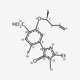 C=CC[C@H](C)Oc1cc(-n2nc(CC)n(C)c2=O)c(F)cc1C(=O)O